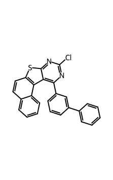 Clc1nc(-c2cccc(-c3ccccc3)c2)c2c(n1)sc1ccc3ccccc3c12